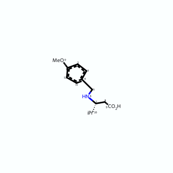 COc1ccc(CN[C@H](CC(=O)O)C(C)C)cc1